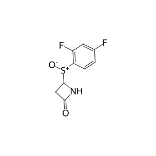 O=C1CC([S+]([O-])c2ccc(F)cc2F)N1